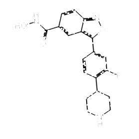 O=C(NO)c1ccc2noc(-c3ccc(C4CCNCC4)c(F)c3)c2c1